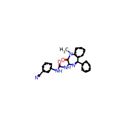 CN1C(=O)C(NC(=O)Nc2cccc(C#N)c2)N=C(c2ccccc2)c2ccccc21